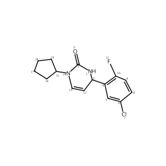 O=C1NC(c2cc(Cl)ccc2F)C=CN1C1CCCC1